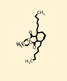 CCCCCCC1C=CCC(CCCCCC)C(C(=O)OCC)C1C(=O)OCC